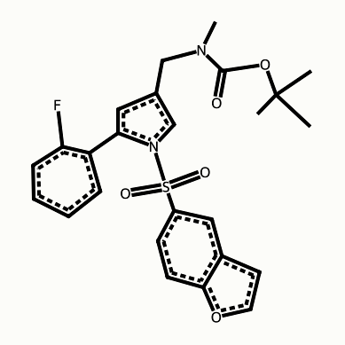 CN(Cc1cc(-c2ccccc2F)n(S(=O)(=O)c2ccc3occc3c2)c1)C(=O)OC(C)(C)C